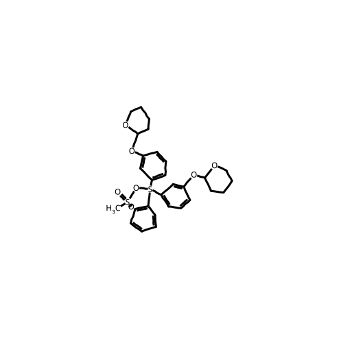 CS(=O)(=O)OS(c1ccccc1)(c1cccc(OC2CCCCO2)c1)c1cccc(OC2CCCCO2)c1